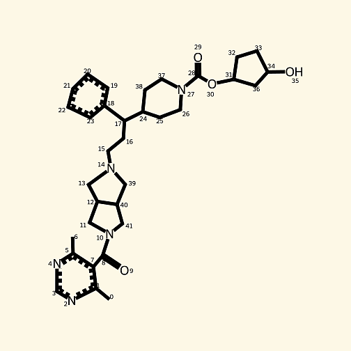 Cc1ncnc(C)c1C(=O)N1CC2CN(CCC(c3ccccc3)C3CCN(C(=O)OC4CCC(O)C4)CC3)CC2C1